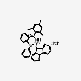 Cc1cc(C)c(C(=O)[NH][Ti+2]([CH]2c3ccccc3-c3ccccc32)[SiH](c2ccccc2)c2ccccc2)c(C)c1.[Cl-].[Cl-]